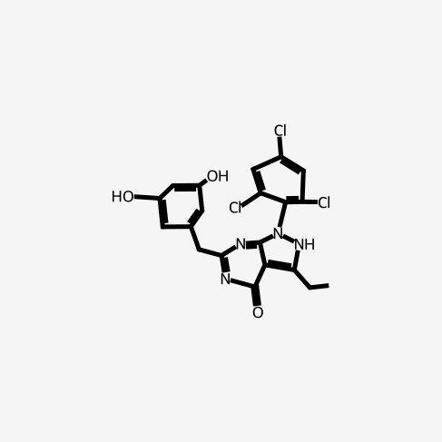 CCc1[nH]n(-c2c(Cl)cc(Cl)cc2Cl)c2nc(Cc3cc(O)cc(O)c3)nc(=O)c1-2